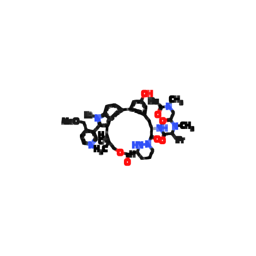 CC[C@H](C)C(=O)N(C)CC(=O)N(C)C(C(=O)N[C@H]1Cc2cc(O)cc(c2)-c2ccc3c(c2)c(c(-c2cnccc2COC)n3CC)CC(C)(C)COC(=O)[C@@H]2CCCN(N2)C1=O)C(C)C